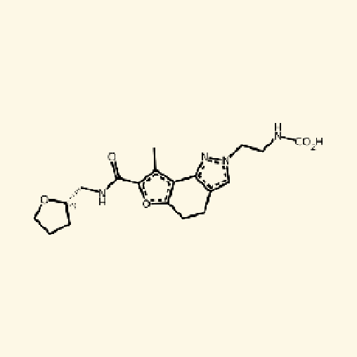 Cc1c(C(=O)NC[C@@H]2CCCO2)oc2c1-c1nn(CCNC(=O)O)cc1CC2